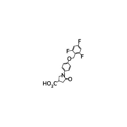 O=C(O)C1CC(=O)N(c2ccc(OCc3c(F)cc(F)cc3F)cc2)C1